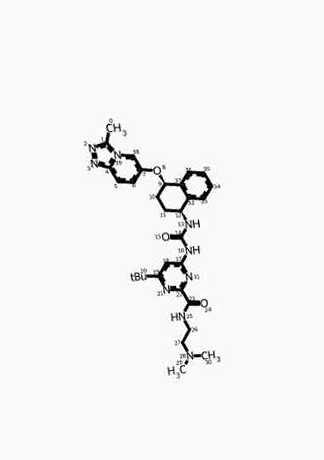 Cc1nnc2ccc(O[C@@H]3CC[C@H](NC(=O)Nc4cc(C(C)(C)C)nc(C(=O)NCCN(C)C)n4)c4ccccc43)cn12